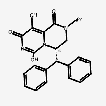 CC(C)N1C[C@H](C(c2ccccc2)c2ccccc2)n2c(O)nc(=O)c(O)c2C1=O